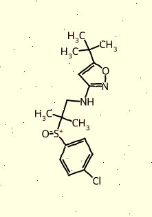 CC(C)(C)c1cc(NCC(C)(C)[S+]([O-])c2ccc(Cl)cc2)no1